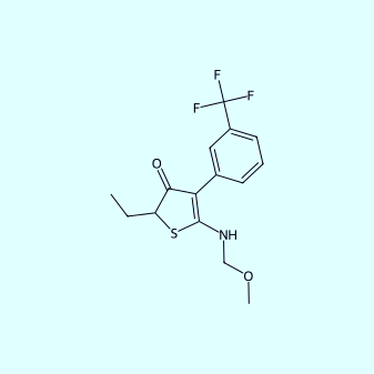 CCC1SC(NCOC)=C(c2cccc(C(F)(F)F)c2)C1=O